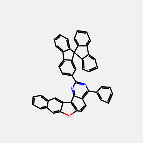 c1ccc(-c2nc(-c3ccc4c(c3)C3(c5ccccc5-c5ccccc53)c3ccccc3-4)nc3c2ccc2oc4cc5ccccc5cc4c23)cc1